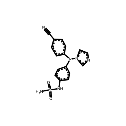 N#Cc1ccc(N(c2ccc(NS(N)(=O)=O)cc2)n2ccnc2)cc1